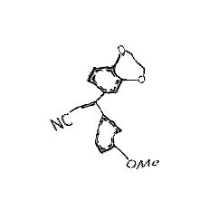 COc1ccc(/C(=C\C#N)c2ccc3c(c2)OCCO3)cc1